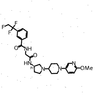 COc1ccc(N2CCC(N3CC[C@@H](NC(=O)CNC(=O)c4cccc(C(F)(F)CF)c4)C3)CC2)cn1